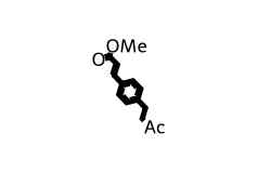 COC(=O)/C=C/c1ccc(CCC(C)=O)cc1